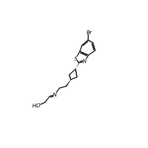 OCC=NCC[C@H]1C[C@H](c2nc3ccc(Br)cc3s2)C1